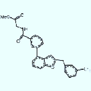 COC(=O)CNC(=O)c1cccc(-c2cccc3oc(Cc4cccc(C(F)(F)F)c4)cc23)c1